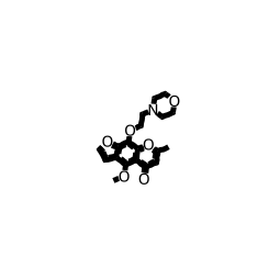 COc1c2ccoc2c(OCCN2CCOCC2)c2oc(C)cc(=O)c12